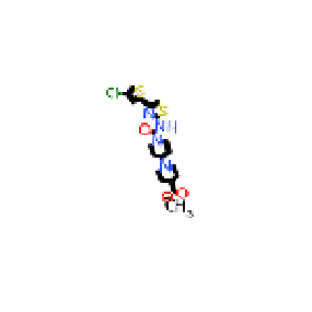 COC(=O)C1CCN(C2CCN(C(=O)Nc3nc(-c4cc(Cl)cs4)cs3)CC2)CC1